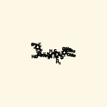 COc1cc(C(=O)N2C[C@H](C)N(Cc3nsc(NC[C@@H]4C[C@@H](O)CN4Cc4ccc(Br)cc4)n3)C[C@@H]2C)cc(OC)c1OC